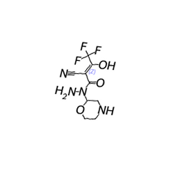 N#C/C(C(=O)N(N)C1CNCCO1)=C(/O)C(F)(F)F